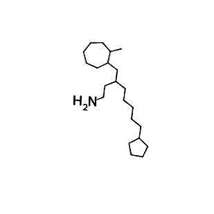 CC1CCCCCC1CC(CCN)CCCCCC1CCCC1